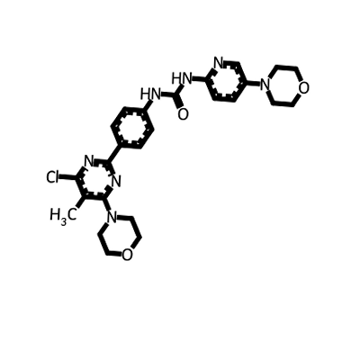 Cc1c(Cl)nc(-c2ccc(NC(=O)Nc3ccc(N4CCOCC4)cn3)cc2)nc1N1CCOCC1